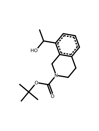 CC(O)c1cccc2c1CN(C(=O)OC(C)(C)C)CC2